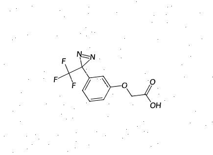 O=C(O)COc1cccc(C2(C(F)(F)F)N=N2)c1